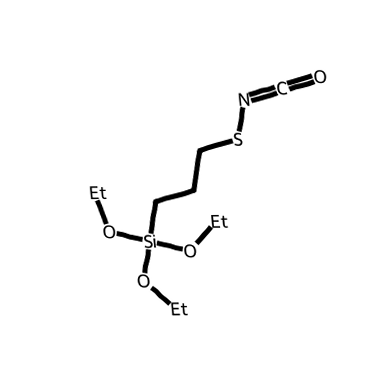 CCO[Si](CCCSN=C=O)(OCC)OCC